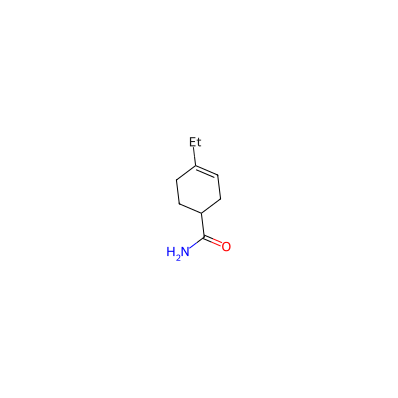 CCC1=CCC(C(N)=O)CC1